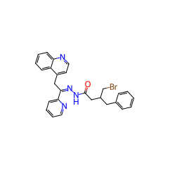 O=C(CC(CBr)Cc1ccccc1)NN=C(Cc1ccnc2ccccc12)c1ccccn1